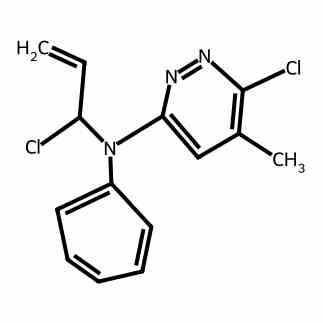 C=CC(Cl)N(c1ccccc1)c1cc(C)c(Cl)nn1